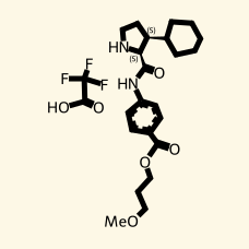 COCCCOC(=O)c1ccc(NC(=O)[C@H]2NCC[C@H]2C2CCCCC2)cc1.O=C(O)C(F)(F)F